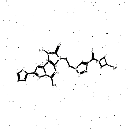 Cn1c(=O)n(CCn2cc(C(=O)N3CC(O)C3)cn2)c2nc(N)n3nc(-c4ccco4)nc3c21